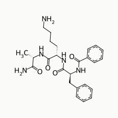 C[C@H](NC(=O)[C@H](CCCCN)NC(=O)[C@H](Cc1ccccc1)NC(=O)c1ccccc1)C(N)=O